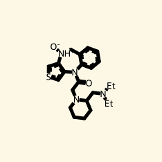 CCN(CC)CC1CCCCN1CC(=O)N1c2ccccc2C[NH+]([O-])c2cscc21